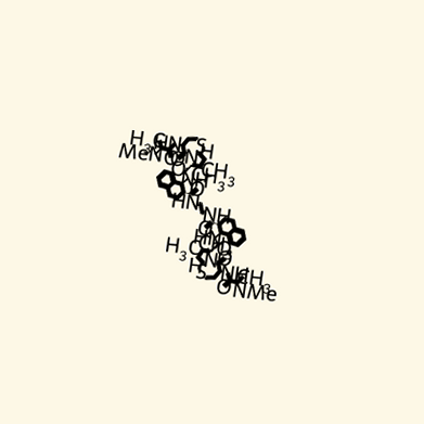 CN[C@@H](C)C(=O)N[C@H]1CCS[C@H]2CC(C)(C)[C@@H](C(=O)N[C@@H]3c4ccccc4CC[C@H]3C(=O)NCCNC(=O)[C@@H]3CCc4ccccc4[C@H]3NC(=O)[C@H]3N4C(=O)[C@@H](NC(=O)[C@H](C)NC)CCS[C@H]4CC3(C)C)N2C1=O